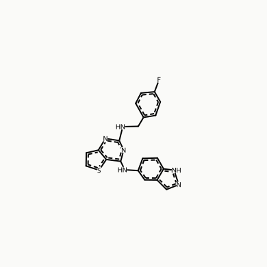 Fc1ccc(CNc2nc(Nc3ccc4[nH]ncc4c3)c3sccc3n2)cc1